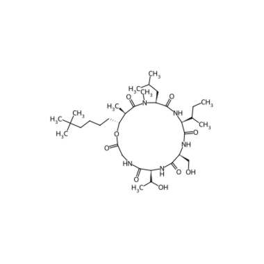 CCC(C)[C@@H]1NC(=O)[C@H](CC(C)C)N(C)C(=O)[C@H](C)[C@@H](CCCCC(C)(C)C)OC(=O)CNC(=O)[C@H](C(C)O)NC(=O)[C@H](CO)NC1=O